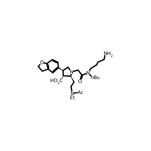 CCCCN(CCCCN)C(=O)CN1C[C@H](c2ccc3c(c2)CCO3)[C@@H](C(=O)O)[C@@H]1CCN(CC)C(C)=O